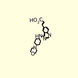 O=C(O)/C=C/c1ccc2ncnc(N[C@H]3CC[C@H](N4CCOCC4)CC3)c2c1